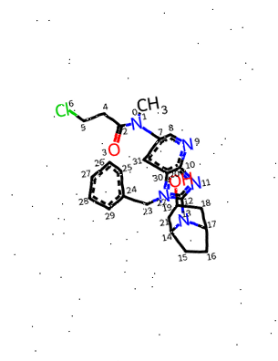 CN(C(=O)CCCl)c1cnc2nc(N3C4CCC3CC(O)C4)n(Cc3ccccc3)c2c1